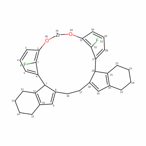 Fc1c2cccc1C1C(=CC3=C1CCCC3)CCC1=CC3=C(CCCC3)C1c1cccc(c1F)[O][Zr][O]2